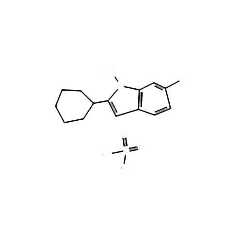 CCc1ccc2cc(C3CCCCC3)[s+](C(F)(F)F)c2c1.O=S(=O)([O-])C(F)(F)F